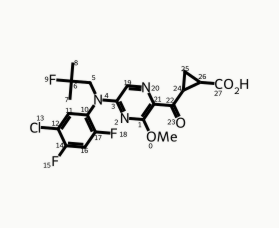 COc1nc(N(CC(C)(C)F)c2cc(Cl)c(F)cc2F)cnc1C(=O)C1CC1C(=O)O